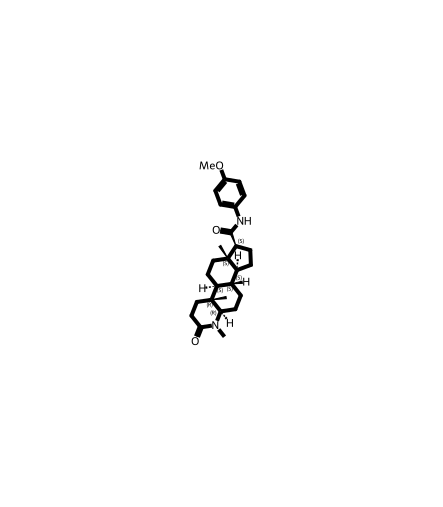 COc1ccc(NC(=O)[C@H]2CC[C@H]3[C@@H]4CC[C@H]5N(C)C(=O)CC[C@]5(C)[C@H]4CC[C@]23C)cc1